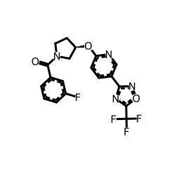 O=C(c1cccc(F)c1)N1CC[C@@H](Oc2ccc(-c3noc(C(F)(F)F)n3)cn2)C1